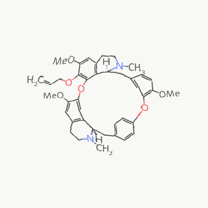 C=CCOc1c(OC)cc2c3c1Oc1cc4c(cc1OC)CCN(C)[C@H]4Cc1ccc(cc1)Oc1cc(ccc1OC)C[C@@H]3N(C)CC2